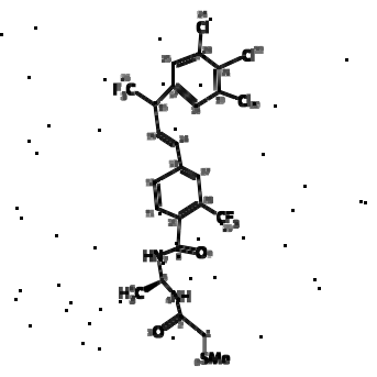 CSCC(=O)N[C@@H](C)NC(=O)c1ccc(/C=C/C(c2cc(Cl)c(Cl)c(Cl)c2)C(F)(F)F)cc1C(F)(F)F